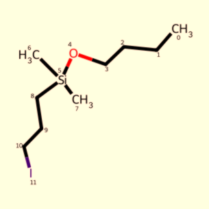 CCCCO[Si](C)(C)CCCI